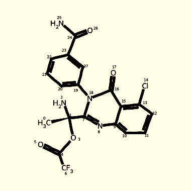 C[C@](N)(OC(=O)C(F)(F)F)c1nc2cccc(Cl)c2c(=O)n1-c1cccc(C(N)=O)c1